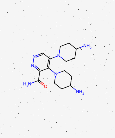 NC(=O)c1nncc(N2CCC(N)CC2)c1N1CCC(N)CC1